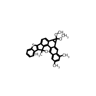 COC1(OC)C2c3cc4c(C)cc(C)cc4cc3-c3c(ccc4c3C(C)(C)c3c-4sc4ccccc34)C21